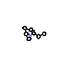 Cc1ccc(-c2ccccc2-c2ccc3c4ccccc4n(-c4cccc(-c5cccc(-c6ccccc6)c5)c4)c3c2)cc1